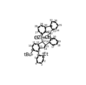 CCc1ccccc1-c1c(C(C)(C)C)ccc2c1C=C(c1ccccc1)[CH]2[Zr]([Cl])([Cl])[c]1cccc2c1[SiH2]c1ccccc1-2